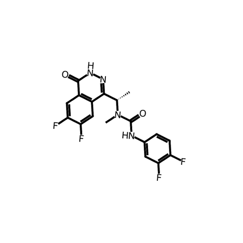 C[C@@H](c1n[nH]c(=O)c2cc(F)c(F)cc12)N(C)C(=O)Nc1ccc(F)c(F)c1